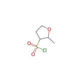 CC1OCCC1S(=O)(=O)Cl